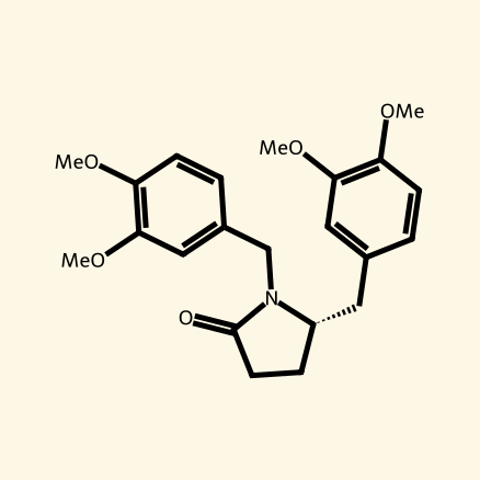 COc1ccc(C[C@@H]2CCC(=O)N2Cc2ccc(OC)c(OC)c2)cc1OC